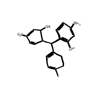 NC1=CC(O)C(C(C2=CC=C(I)CC2)c2ccc(N)cc2O)C=C1